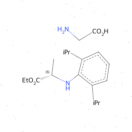 CCOC(=O)[C@H](C)Nc1c(C(C)C)cccc1C(C)C.NCC(=O)O